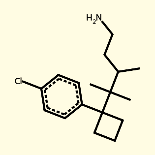 CC(CCN)C(C)(C)C1(c2ccc(Cl)cc2)CCC1